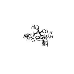 O=C(O)CC(O)(CC(=O)O)C(=O)O.O=C(O)O.[CH3][Na].[NaH].[NaH].[NaH]